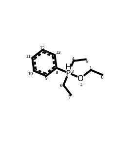 CCO[PH](CC)(CC)c1ccccc1